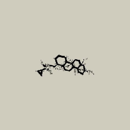 C[C@H]1CC[C@@]2(C)[C@H](CC[C@]3(I)[C@@H]2CC[C@]2(C)[C@@H](CNS(=O)(=O)C4CC4)CCC[C@H]23)C1